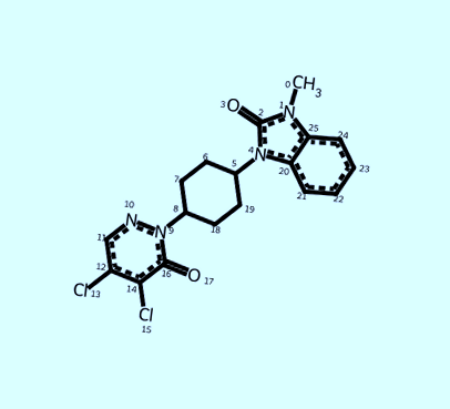 Cn1c(=O)n(C2CCC(n3ncc(Cl)c(Cl)c3=O)CC2)c2ccccc21